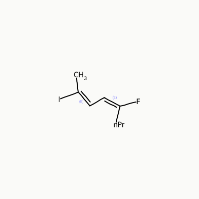 CCC/C(F)=C\C=C(/C)I